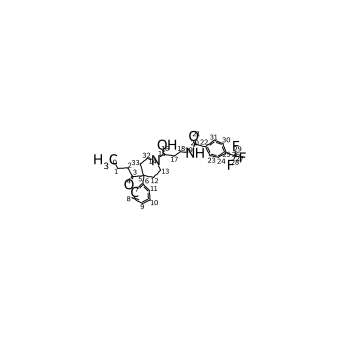 CCCC(=O)C1(c2ccccc2)CCN(C(O)CCNC(=O)c2ccc(C(F)(F)F)cc2)CC1